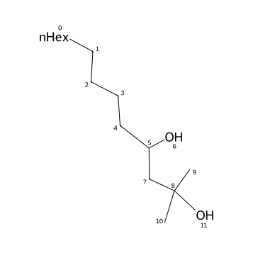 CCCCCCCCCCC(O)CC(C)(C)O